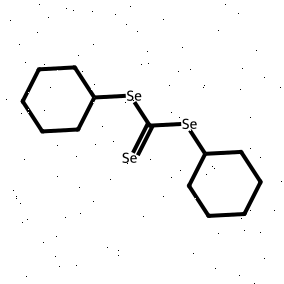 [Se]=C([Se]C1CCCCC1)[Se]C1CCCCC1